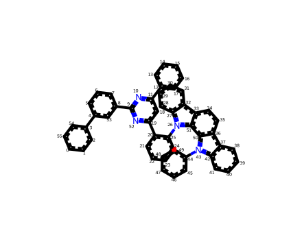 c1ccc(-c2cccc(-c3nc(-c4ccccc4)cc(-c4ccccc4-n4c5ccccc5c5ccc6c7ccccc7n(-c7ccccc7)c6c54)n3)c2)cc1